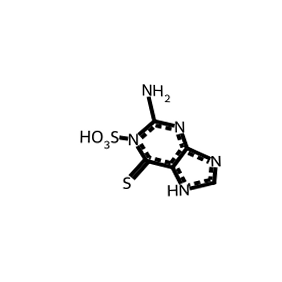 Nc1nc2nc[nH]c2c(=S)n1S(=O)(=O)O